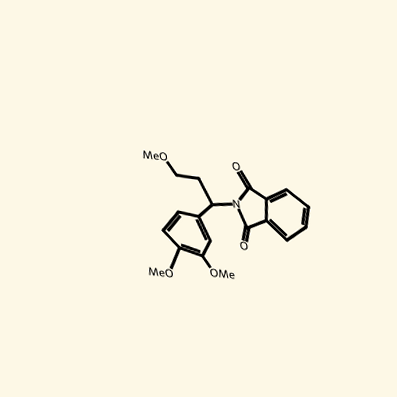 COCCC(c1ccc(OC)c(OC)c1)N1C(=O)c2ccccc2C1=O